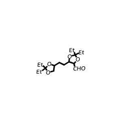 CCC1(CC)OCC(CCC2OC(CC)(CC)OC2C=O)O1